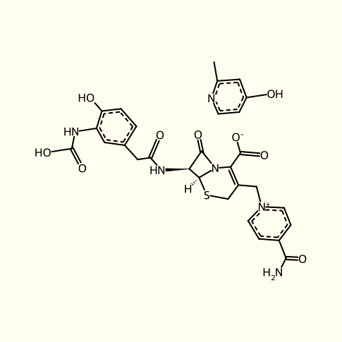 Cc1cc(O)ccn1.NC(=O)c1cc[n+](CC2=C(C(=O)[O-])N3C(=O)[C@H](NC(=O)Cc4ccc(O)c(NC(=O)O)c4)[C@@H]3SC2)cc1